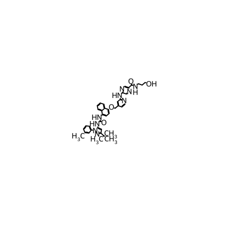 Cc1cccc(-n2nc(C(C)(C)C)cc2NC(=O)Nc2ccc(OCc3ccnc(Nc4cnc(C(=O)NCCCO)cn4)c3)c3ccccc23)c1